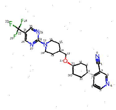 N#Cc1cnccc1[C@H]1CC[C@H](OCC2CCN(c3ncc(C(F)(F)F)cn3)CC2)CC1